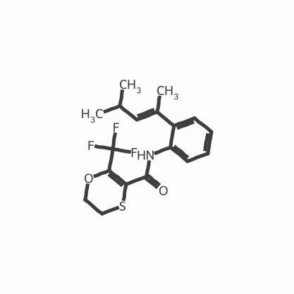 CC(=CC(C)C)c1ccccc1NC(=O)C1=C(C(F)(F)F)OCCS1